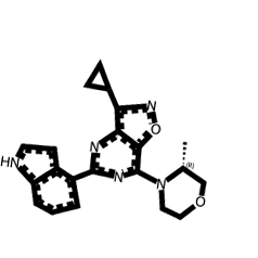 C[C@@H]1COCCN1c1nc(-c2cccc3[nH]ccc23)nc2c(C3CC3)noc12